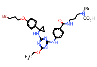 CC(C)(C)N(CCCNC(=O)c1ccc(Nc2nc(NC3(c4ccc(OCCCBr)cc4)CC3)nc(OCC(F)(F)F)n2)cc1)C(=O)O